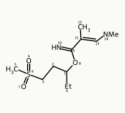 CCC(CCS(C)(=O)=O)OC(=N)/C(C)=C/NC